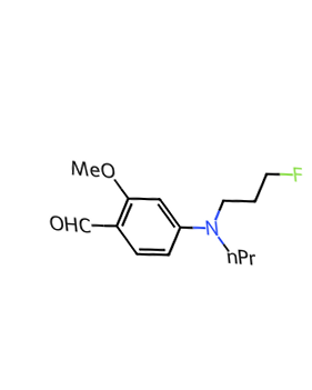 CCCN(CCCF)c1ccc(C=O)c(OC)c1